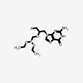 CCOP(COC(CF)Cn1cnc2c(=O)[nH]c(N)nc21)OCC